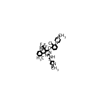 Cc1cccc(C)c1-c1nc(NSc2cnn(C)c2)nc(Oc2cccc(N3CCN(C)CC3)c2Cl)c1C(F)(F)C(F)(F)F